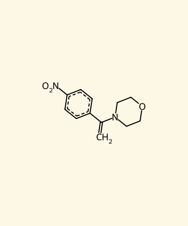 C=C(c1ccc([N+](=O)[O-])cc1)N1CCOCC1